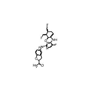 CNC(=O)C1Cc2cc(Nc3ncc(F)c(NC4=CCC(=CF)C(=CF)C4=O)n3)ccc2O1